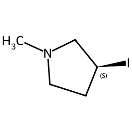 CN1CC[C@H](I)C1